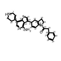 Nc1ncc(C2=CCNCC2)c2scc(C3C=CC4=C(CCN4C(=O)Cc4ccccc4)C3)c12